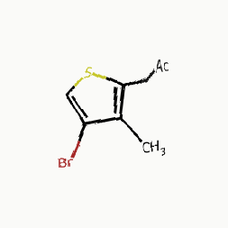 CC(=O)c1scc(Br)c1C